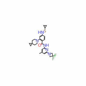 Cc1cc(NC(=O)c2ccc(NSC3CC3)cc2N2CCC3(CC2)CC3)nc(N2CC(F)(F)C2)c1